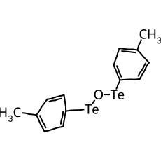 Cc1ccc([Te]O[Te]c2ccc(C)cc2)cc1